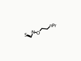 CCCCCO[N]C=S